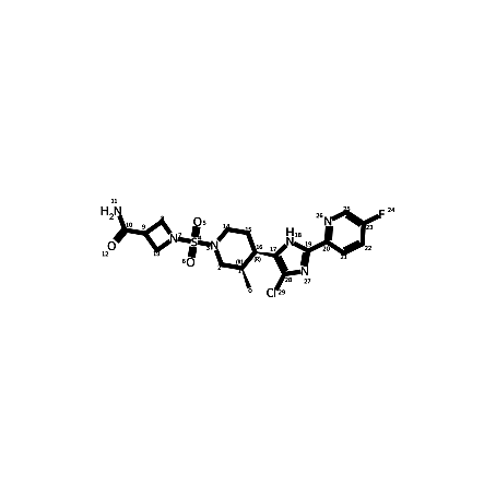 C[C@H]1CN(S(=O)(=O)N2CC(C(N)=O)C2)CC[C@H]1c1[nH]c(-c2ccc(F)cn2)nc1Cl